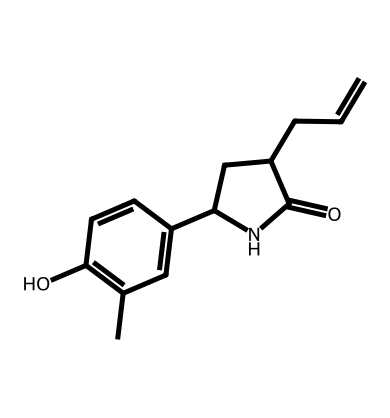 C=CCC1CC(c2ccc(O)c(C)c2)NC1=O